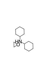 C1CCC(NC2CCCCC2)CC1.C1CO1